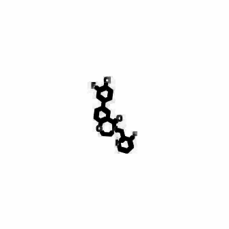 O=C1c2cc(-c3ccc(Cl)c(F)c3)ccc2OCCN1Cc1ncccc1F